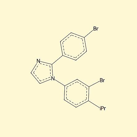 CC(C)c1ccc(-n2ccnc2-c2ccc(Br)cc2)cc1Br